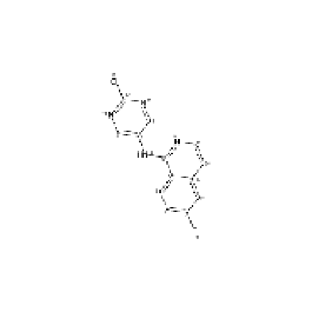 Fc1ccc2c(Nc3cnc(Cl)nc3)nccc2c1